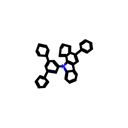 c1ccc(-c2cc(-c3ccccc3)cc(-n3c4ccccc4c4cc(-c5ccccc5)c5ccccc5c43)c2)cc1